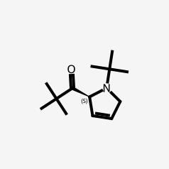 CC(C)(C)C(=O)[C@@H]1C=CCN1C(C)(C)C